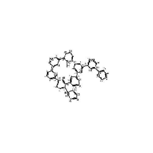 C1=CNC(c2cncc(-c3cccc(-c4ccc5c6ccccc6c6ccc(-c7cccc(-c8cncc(-c9ccccn9)c8)n7)cc6c5c4)n3)c2)C=C1